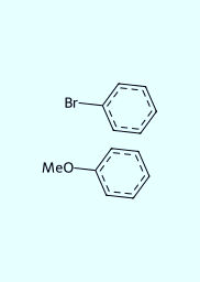 Brc1ccccc1.COc1ccccc1